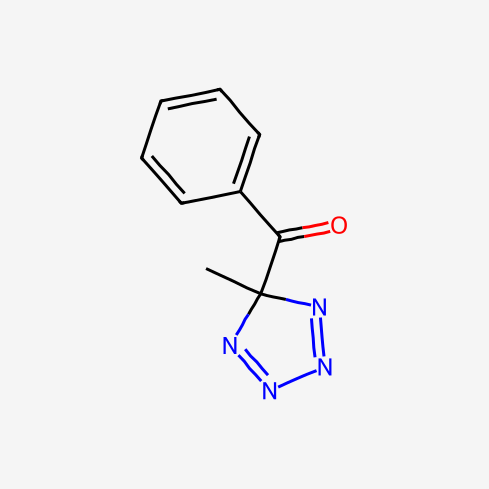 CC1(C(=O)c2ccccc2)N=NN=N1